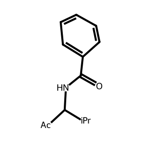 CC(=O)C(NC(=O)c1ccccc1)C(C)C